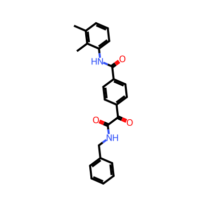 Cc1cccc(NC(=O)c2ccc(C(=O)C(=O)NCc3ccccc3)cc2)c1C